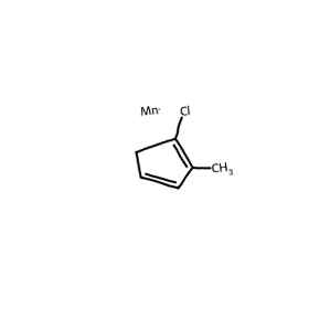 CC1=C(Cl)CC=C1.[Mn]